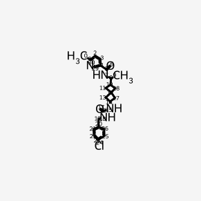 Cc1ccc(C(=O)NC(C)C2CC3(CC(NC(=O)NCc4ccc(Cl)cc4)C3)C2)cn1